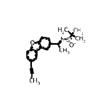 CC#Cc1ccc2oc3ccc(/C(C)=N/[S+]([O-])C(C)(C)C)cc3c2c1